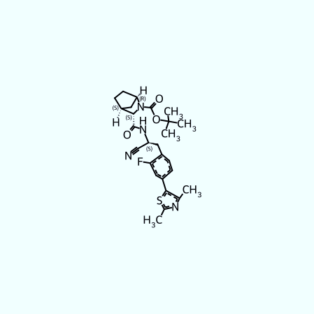 Cc1nc(C)c(-c2ccc(C[C@@H](C#N)NC(=O)[C@@H]3[C@H]4CC[C@H](C4)N3C(=O)OC(C)(C)C)c(F)c2)s1